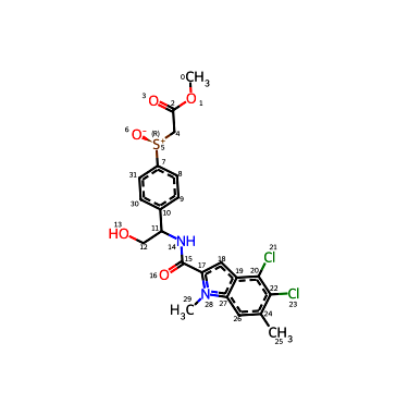 COC(=O)C[S@+]([O-])c1ccc(C(CO)NC(=O)c2cc3c(Cl)c(Cl)c(C)cc3n2C)cc1